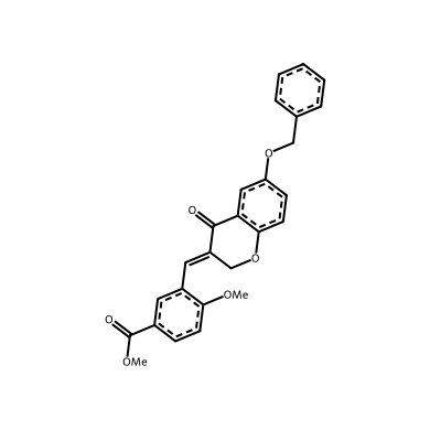 COC(=O)c1ccc(OC)c(C=C2COc3ccc(OCc4ccccc4)cc3C2=O)c1